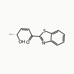 C[C@@H](O)/C=C\C(=O)c1nc2ccccc2s1